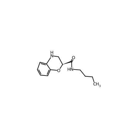 CCCCNC(=O)[C@@H]1CNc2ccccc2O1